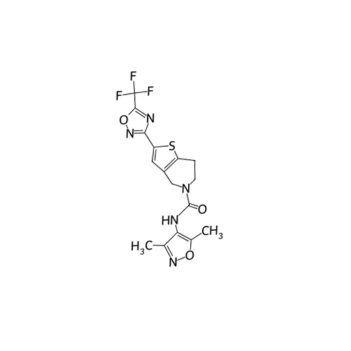 Cc1noc(C)c1NC(=O)N1CCc2sc(-c3noc(C(F)(F)F)n3)cc2C1